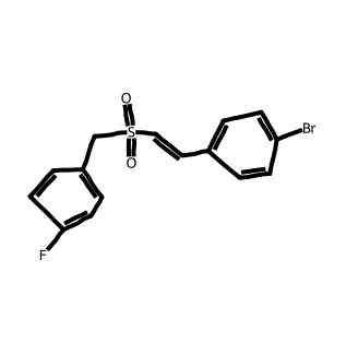 O=S(=O)(C=Cc1ccc(Br)cc1)Cc1ccc(F)cc1